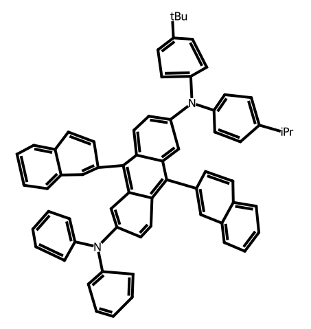 CC(C)c1ccc(N(c2ccc(C(C)(C)C)cc2)c2ccc3c(-c4ccc5ccccc5c4)c4cc(N(c5ccccc5)c5ccccc5)ccc4c(-c4ccc5ccccc5c4)c3c2)cc1